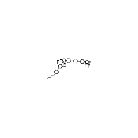 CCCCCc1ccc(-c2cc(F)c(C(F)(F)OC3CCC(C4CCC(c5ccc(OC(F)(F)F)cc5)CC4)CC3)c(F)c2)cc1